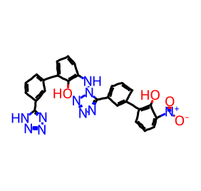 O=[N+]([O-])c1cccc(-c2cccc(-c3nnnn3Nc3cccc(-c4cccc(-c5nnn[nH]5)c4)c3O)c2)c1O